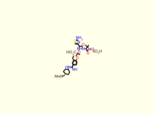 CNC[C@H]1CC[C@@H](NC(=N)c2ccc3c(c2)CC[C@H]([C@](C)(O/N=C(\C(=O)N[C@@H]2C(=O)N(OS(=O)(=O)O)C2(C)C)c2csc(N)n2)C(=O)O)O3)CC1